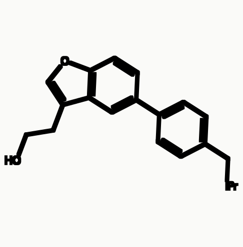 CC(C)Cc1ccc(-c2ccc3occ(CCO)c3c2)cc1